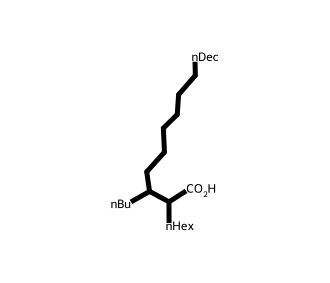 CCCCCCCCCCCCCCCCC(CCCC)C(CCCCCC)C(=O)O